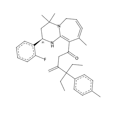 C=C(CC(=O)C1=C2N[C@@H](c3ccccc3F)CC(C)(C)N2CC=C=C1C)C(CC)(CC)c1ccc(C)cc1